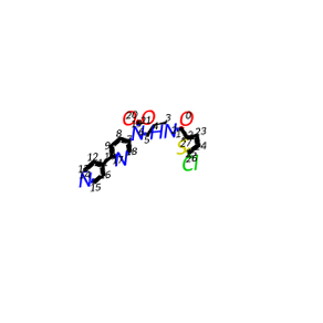 O=C(NC[C@H]1CN(c2ccc(-c3ccncc3)nc2)C(=O)O1)c1ccc(Cl)s1